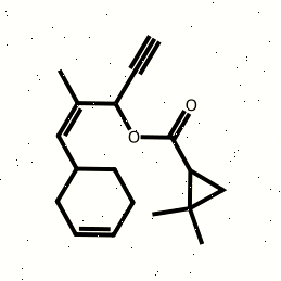 C#CC(OC(=O)C1CC1(C)C)C(C)=CC1CC=CCC1